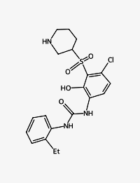 CCc1ccccc1NC(=O)Nc1ccc(Cl)c(S(=O)(=O)C2CCCNC2)c1O